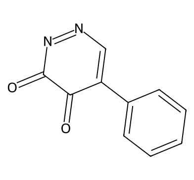 O=C1N=NC=C(c2ccccc2)C1=O